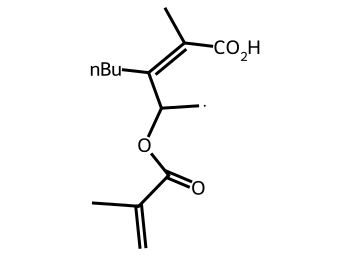 [CH2]C(OC(=O)C(=C)C)C(CCCC)=C(C)C(=O)O